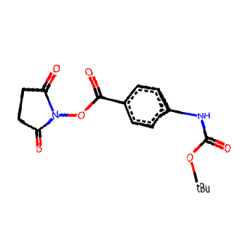 CC(C)(C)OC(=O)Nc1ccc(C(=O)ON2C(=O)CCC2=O)cc1